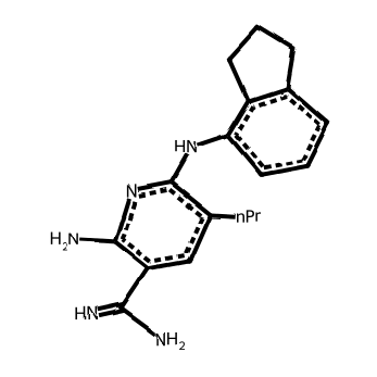 CCCc1cc(C(=N)N)c(N)nc1Nc1cccc2c1CCC2